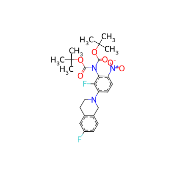 CC(C)(C)OC(=O)N(C(=O)OC(C)(C)C)c1c([N+](=O)[O-])ccc(N2CCc3cc(F)ccc3C2)c1F